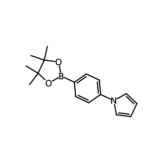 CC1(C)OB(c2ccc(-n3cccc3)cc2)OC1(C)C